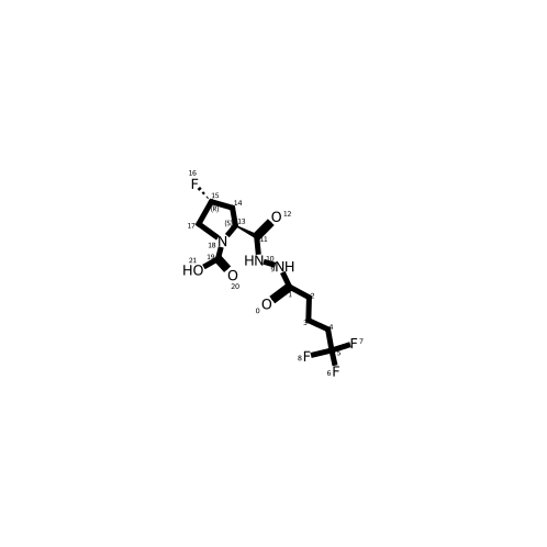 O=C(CCCC(F)(F)F)NNC(=O)[C@@H]1C[C@@H](F)CN1C(=O)O